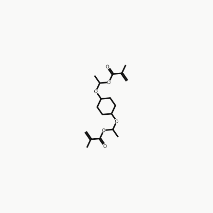 C=C(C)C(=O)OC(C)OC1CCC(OC(C)OC(=O)C(=C)C)CC1